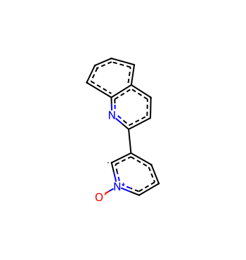 [O-][n+]1[c]c(-c2ccc3ccccc3n2)ccc1